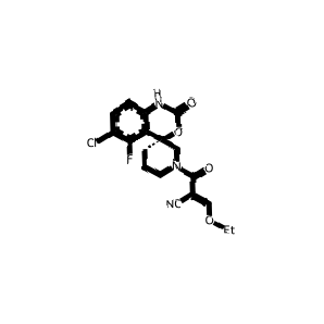 CCO/C=C(\C#N)C(=O)N1CCC[C@@]2(C1)OC(=O)Nc1ccc(Cl)c(F)c12